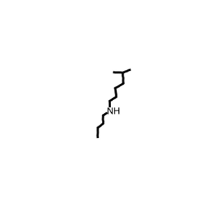 CCCCNCCCCC(C)C